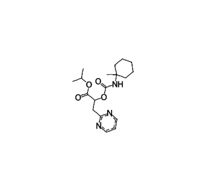 CC(C)OC(=O)C(Cc1ncccn1)OC(=O)NC1(C)CCCCC1